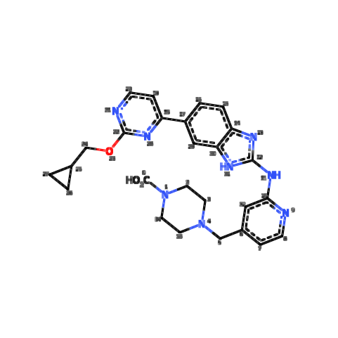 O=C(O)N1CCN(Cc2ccnc(Nc3nc4ccc(-c5ccnc(OCC6CC6)n5)cc4[nH]3)c2)CC1